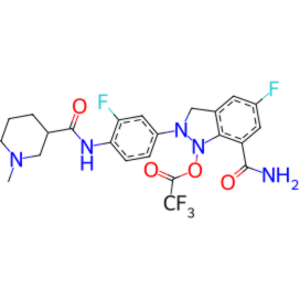 CN1CCCC(C(=O)Nc2ccc(N3Cc4cc(F)cc(C(N)=O)c4N3OC(=O)C(F)(F)F)cc2F)C1